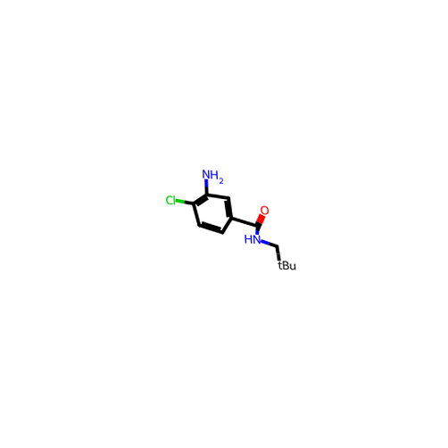 CC(C)(C)CNC(=O)c1ccc(Cl)c(N)c1